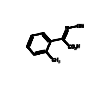 Cc1ccccc1/C(=N/O)C(=O)O